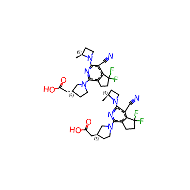 C[C@H]1CCN1c1nc(N2CC[C@@H](CC(=O)O)C2)c2c(c1C#N)C(F)(F)CC2.C[C@H]1CCN1c1nc(N2CC[C@H](CC(=O)O)C2)c2c(c1C#N)C(F)(F)CC2